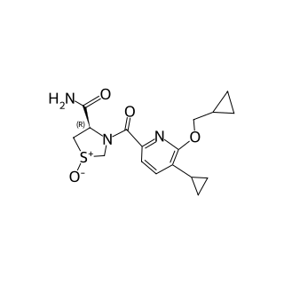 NC(=O)[C@@H]1C[S+]([O-])CN1C(=O)c1ccc(C2CC2)c(OCC2CC2)n1